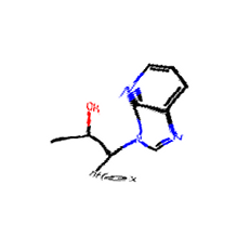 CCCCCCC(C(C)O)n1cnc2cccnc21